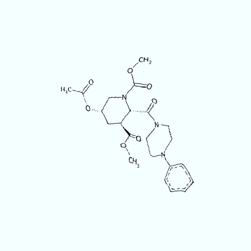 COC(=O)[C@H]1C[C@H](OC(C)=O)CN(C(=O)OC)[C@@H]1C(=O)N1CCN(c2ccccc2)CC1